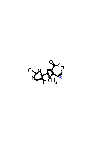 Cn1c(-c2nc(Cl)ncc2F)cc2c1/C=C\CCCC2=O